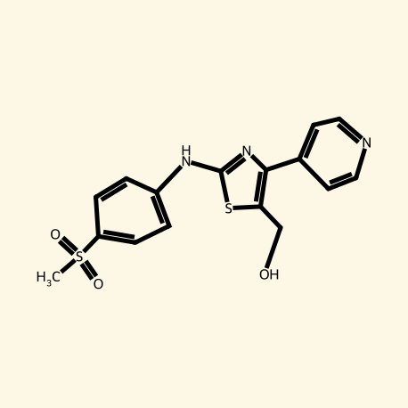 CS(=O)(=O)c1ccc(Nc2nc(-c3ccncc3)c(CO)s2)cc1